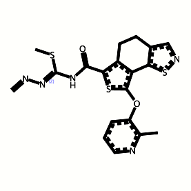 C=N/N=C(/NC(=O)c1sc(Oc2cccnc2C)c2c1CCc1cnsc1-2)SC